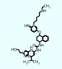 CCNCCCCCn1cc(OC2CCC(NC(=O)N/C(=C/C(=N)C(C)C)Nc3cnn(CCO)c3)c3ccccc32)ccc1=N